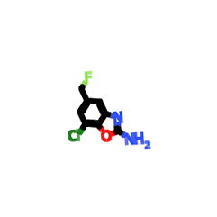 Nc1nc2cc(CF)cc(Cl)c2o1